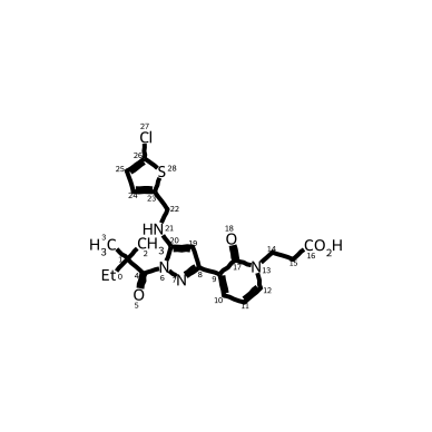 CCC(C)(C)C(=O)n1nc(-c2cccn(CCC(=O)O)c2=O)cc1NCc1ccc(Cl)s1